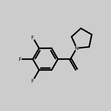 C=C(c1cc(F)c(F)c(F)c1)N1CCCC1